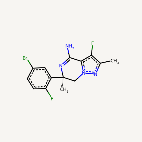 Cc1nn2c(c1F)C(N)=N[C@](C)(c1cc(Br)ccc1F)C2